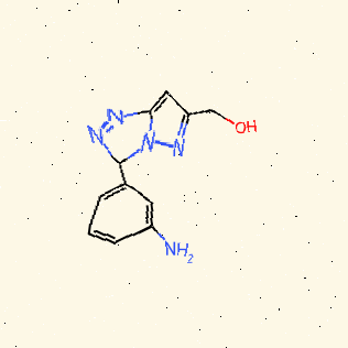 Nc1cccc(C2N=Nc3cc(CO)nn32)c1